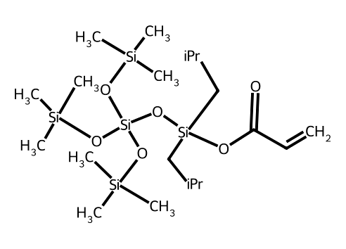 C=CC(=O)O[Si](CC(C)C)(CC(C)C)O[Si](O[Si](C)(C)C)(O[Si](C)(C)C)O[Si](C)(C)C